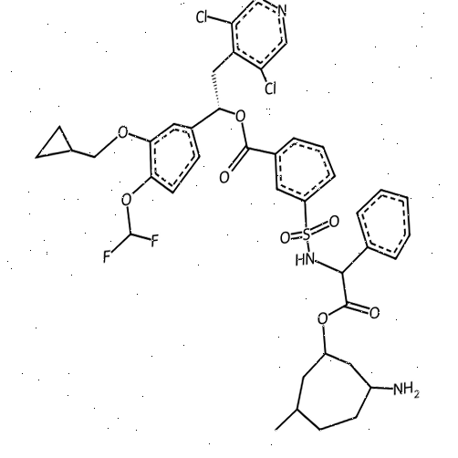 CC1CCC(N)CC(OC(=O)C(NS(=O)(=O)c2cccc(C(=O)O[C@@H](Cc3c(Cl)cncc3Cl)c3ccc(OC(F)F)c(OCC4CC4)c3)c2)c2ccccc2)C1